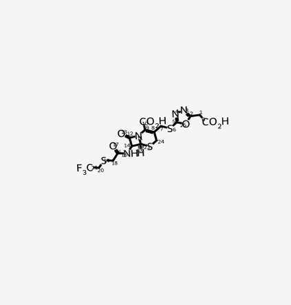 O=C(O)Cc1nnc(SCC2=C(C(=O)O)N3C(=O)C(NC(=O)CSCC(F)(F)F)[C@H]3SC2)o1